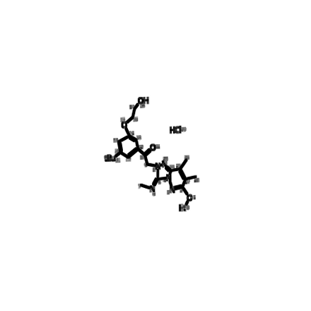 CCOc1nn2/c(=N/C)n(CC(=O)c3cc(OCCO)cc(C(C)(C)C)c3)nc2c(C)c1C.Cl